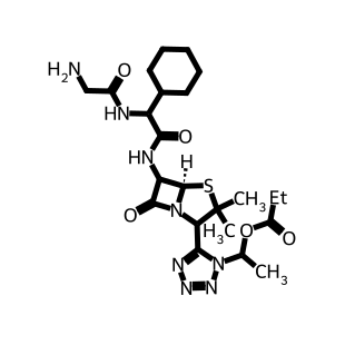 CCC(=O)OC(C)n1nnnc1C1N2C(=O)C(NC(=O)C(NC(=O)CN)C3CCCCC3)[C@H]2SC1(C)C